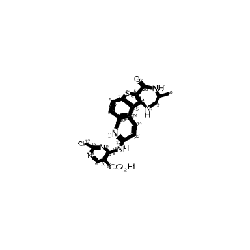 CC1CNc2c(sc3ccc4nc(Nc5nc(Cl)ncc5C(=O)O)ccc4c23)C(=O)N1